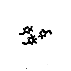 C=CC1=NC(C)(C)C(C)(C)O1.C=CC1=NC(C)(C)CO1.C=CC1=NCC(C)(C)O1